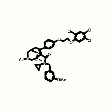 COc1cccc(CN(C(=O)C2=C(c3ccc(OCCOc4cc(Cl)c(Cl)cc4Cl)cc3)CC3CN(C(C)=O)C[C@H]2N3)C2CC2)c1